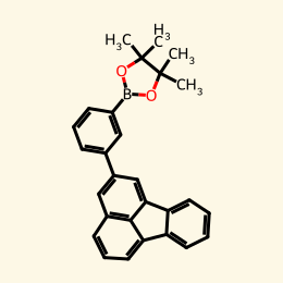 CC1(C)OB(c2cccc(-c3cc4c5c(cccc5c3)-c3ccccc3-4)c2)OC1(C)C